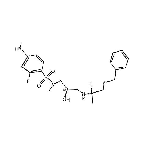 CBc1ccc(S(=O)(=O)N(C)C[C@H](O)CNC(C)(C)CCCc2ccccc2)c(F)c1